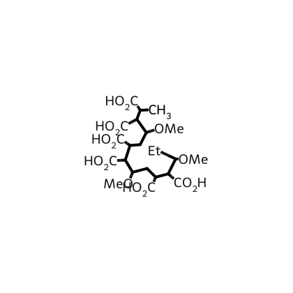 CCC(OC)C(C(=O)O)C(CC(OC)C(C(=O)O)C(CC(OC)C(C(=O)O)C(C)C(=O)O)C(=O)O)C(=O)O